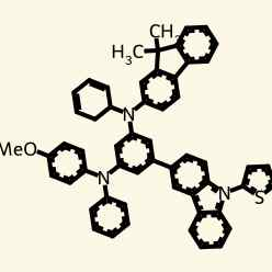 COc1ccc(N(c2ccccc2)c2cc(-c3ccc4c(c3)c3ccccc3n4-c3cccs3)cc(N(c3ccc4c(c3)C(C)(C)c3ccccc3-4)C3C=CC=CC3)c2)cc1